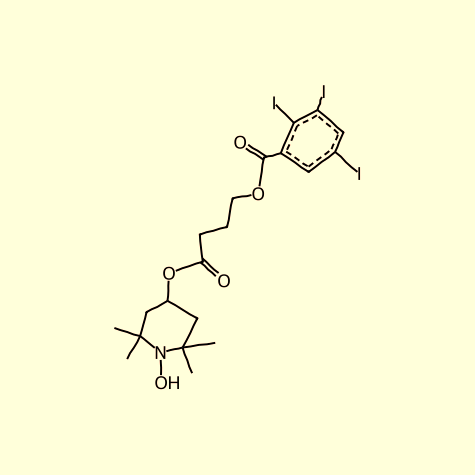 CC1(C)CC(OC(=O)CCCOC(=O)c2cc(I)cc(I)c2I)CC(C)(C)N1O